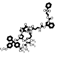 COc1ccc(C(OC[C@H]2O[C@@H](n3cnc4c(=O)[nH]c(NC(=O)CCNC(=O)Oc5cn(C(=O)OCCS(=O)(=O)c6ccccc6)c6ccccc56)nc43)C[C@H]2OP(OCCC#N)N(C(C)C)C(C)C)(c2ccccc2)c2ccc(OC)cc2)cc1